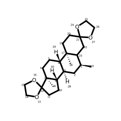 C[C@H]1C[C@@H]2[C@H](CC[C@@]3(C)[C@H]2CCC32OCCO2)[C@@]2(C)CCC3(CC12)OCCO3